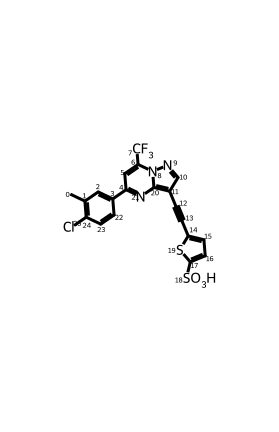 Cc1cc(-c2cc(C(F)(F)F)n3ncc(C#Cc4ccc(S(=O)(=O)O)s4)c3n2)ccc1Cl